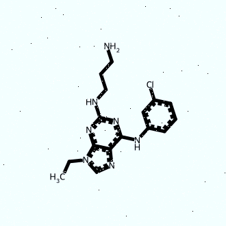 CCn1cnc2c(Nc3cccc(Cl)c3)nc(NCCCN)nc21